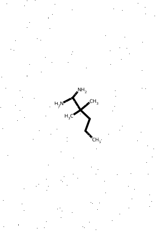 CCCC(C)(C)C(N)N